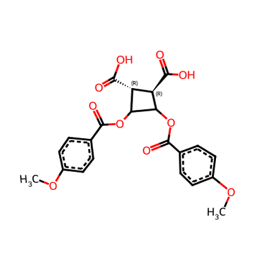 COc1ccc(C(=O)OC2C(OC(=O)c3ccc(OC)cc3)[C@H](C(=O)O)[C@H]2C(=O)O)cc1